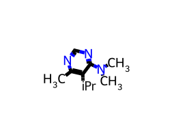 Cc1ncnc(N(C)C)c1C(C)C